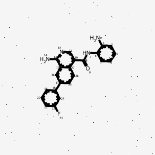 Nc1ccccc1NC(=O)c1cnc(N)c2cc(-c3cccc(F)c3)ccc12